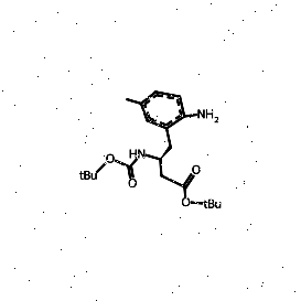 Cc1ccc(N)c(C[C@@H](CC(=O)OC(C)(C)C)NC(=O)OC(C)(C)C)c1